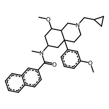 COc1cccc(C23CCN(CC4CC4)CC2C(OC)CC(N(C)C(=O)c2ccc4ccccc4c2)C3)c1